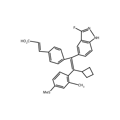 CSc1ccc(/C(=C(\c2ccc(/C=C/C(=O)O)cc2)c2ccc3[nH]nc(F)c3c2)C2CCC2)c(C)c1